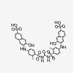 Cc1cc(Nc2cc3ccc(S(=O)(=O)O)cc3cc2O)ccc1S(=O)(=O)NC(=O)NS(=O)(=O)c1ccc(Nc2cc3ccc(S(=O)(=O)O)cc3cc2O)cc1C